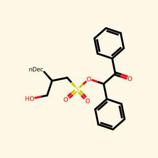 CCCCCCCCCCC(CO)CS(=O)(=O)OC(C(=O)c1ccccc1)c1ccccc1